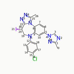 Cc1ncn(-c2ccc3c(c2)N(c2ccc(Cl)cc2)C[C@@H](I)c2nnc(C)n2-3)n1